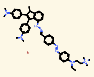 CCN(CC[N+](C)(C)C)c1ccc(/N=N/c2ccc(/C=N/Nc3cccc4c3C(c3ccc(N(C)C)cc3)=C(c3ccc(N(C)C)cc3)C4C)cc2)cc1.[Br-]